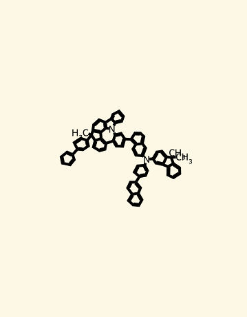 CC1(C)c2ccccc2-c2cc(N(c3ccc(-c4ccc5ccccc5c4)cc3)c3ccc4c(-c5ccc6c(c5)-n5c7ccccc7c7ccc8c(c75)-c5c-6cccc5C8(C)c5ccc(-c6ccccc6)cc5)cccc4c3)ccc21